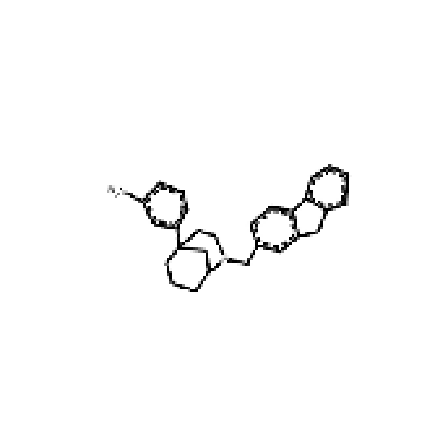 Nc1cccc(C23CCCC(C2)N(Cc2ccc4c(c2)Cc2ccccc2-4)CC3)c1